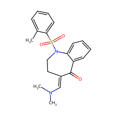 Cc1ccccc1S(=O)(=O)N1CCC(=CN(C)C)C(=O)c2ccccc21